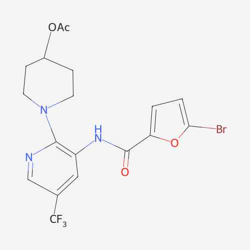 CC(=O)OC1CCN(c2ncc(C(F)(F)F)cc2NC(=O)c2ccc(Br)o2)CC1